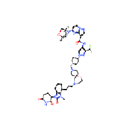 Cn1c(=O)n(C2CCC(=O)NC2=O)c2cccc(CCCN3CCOC4(CCN(C[C@H]5CC[C@H](n6cc(NC(=O)c7cnn8ccc(N9C[C@H]%10C[C@@H]9CO%10)nc78)c(C(F)F)n6)CC5)CC4)C3)c21